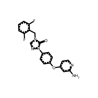 Nc1cc(Oc2ccc(-n3ncn(Cc4c(F)cccc4F)c3=O)cc2)ccn1